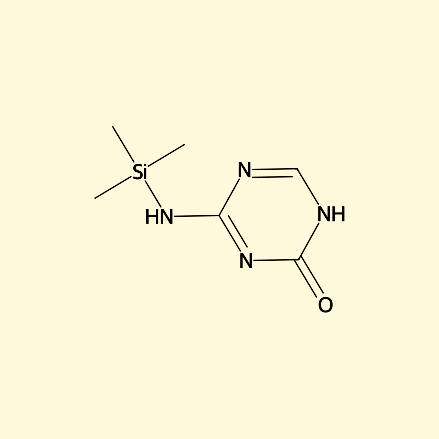 C[Si](C)(C)Nc1nc[nH]c(=O)n1